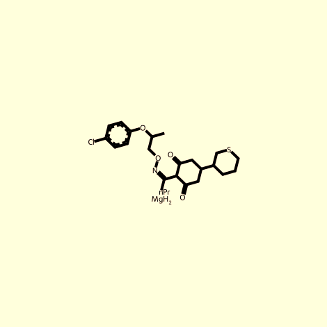 CCCC(=NOCC(C)Oc1ccc(Cl)cc1)C1C(=O)CC(C2CCCSC2)CC1=O.[MgH2]